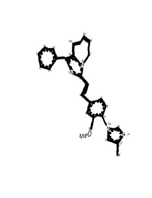 COc1cc(C=Cc2nc(-c3ccccc3)c3n2CCCC3)ccc1-n1cnc(C)c1